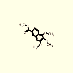 COC(=O)c1ccc2c(OC)c(OC)c(OC)cc2c1